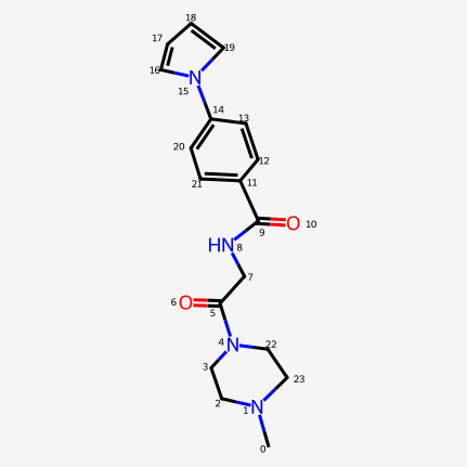 CN1CCN(C(=O)CNC(=O)c2ccc(-n3cccc3)cc2)CC1